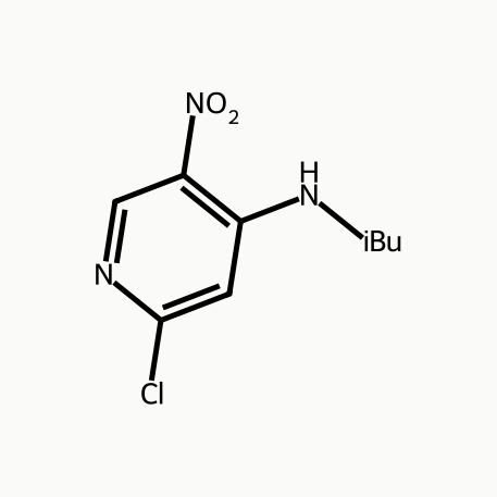 CCC(C)Nc1cc(Cl)ncc1[N+](=O)[O-]